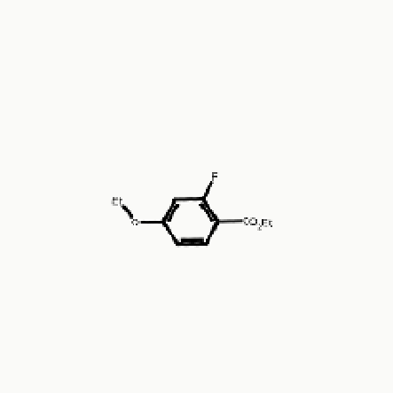 CCOC(=O)c1ccc(OCC)cc1F